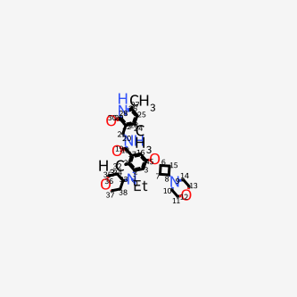 CCN(c1cc(O[C@H]2C[C@H](N3CCOCC3)C2)cc(C(=O)NCc2c(C)cc(C)[nH]c2=O)c1C)C1CCOCC1